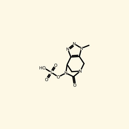 Cn1nnc2c1CN1CC2N(OS(=O)(=O)O)C1=O